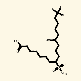 CS(=O)(=O)C(CCCCCCC(=O)O)CCCC(O)CCCCC(F)(F)F